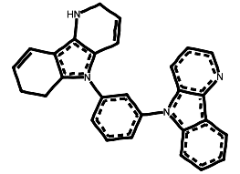 C1=Cc2c3c(n(-c4cccc(-n5c6ccccc6c6ncccc65)c4)c2CC1)C=CCN3